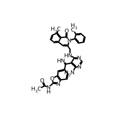 CC(=O)Nc1nc2ccc(C(=N)c3c(N)ncnc3NCc3cc4cccc(C)c4c(=O)n3-c3ccccc3C)cc2o1